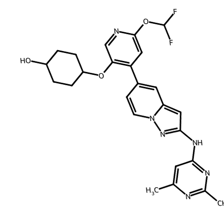 Cc1cc(Nc2cc3cc(-c4cc(OC(F)F)ncc4OC4CCC(O)CC4)ccn3n2)nc(C)n1